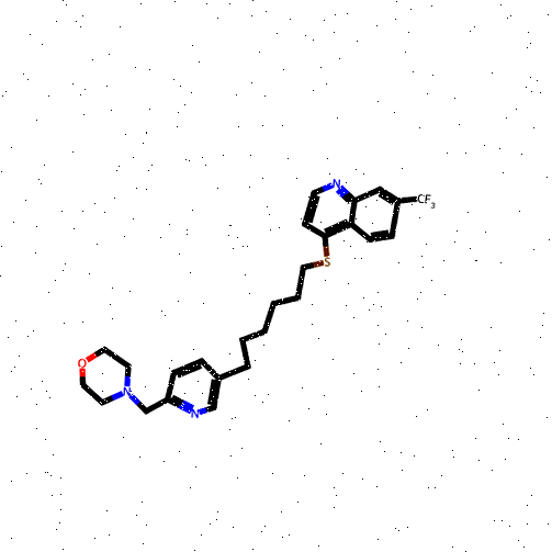 FC(F)(F)c1ccc2c(SCCCCCCc3ccc(CN4CCOCC4)nc3)ccnc2c1